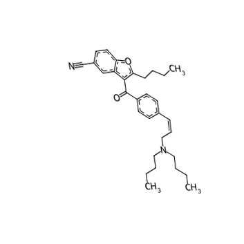 CCCCc1oc2ccc(C#N)cc2c1C(=O)c1ccc(/C=C\CN(CCCC)CCCC)cc1